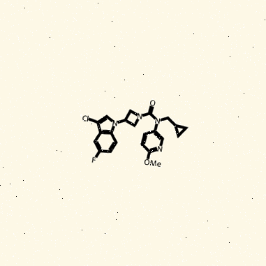 COc1ccc(N(CC2CC2)C(=O)N2CC(n3cc(Cl)c4cc(F)ccc43)C2)cn1